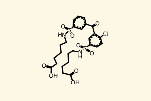 O=C(O)CCCCCNS(=O)(=O)c1cccc(C(=O)c2cc(S(=O)(=O)NCCCCCC(=O)O)ccc2Cl)c1